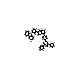 c1ccc(-c2cc(-c3ccc(-c4cccc5cc(-c6cccc(-n7c8ccccc8c8ccccc87)c6)ccc45)cc3)nc(-c3ccccc3)n2)cc1